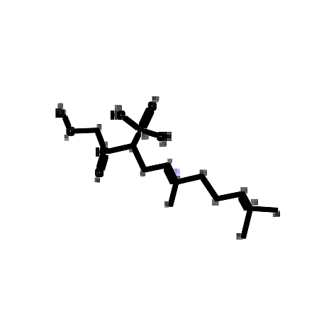 CCOC[PH](=O)C(C/C=C(\C)CCC=C(C)C)P(=O)(O)O